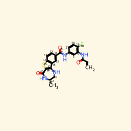 C=CC(=O)Nc1cc(NC(=O)c2ccc3sc4c(c3c2)NC[C@@H](C)NC4=O)ccc1F